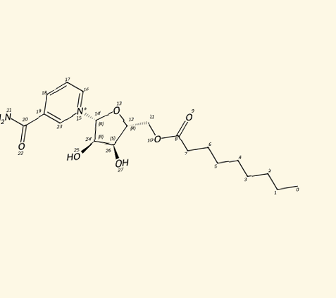 CCCCCCCCC(=O)OC[C@H]1O[C@@H]([n+]2cccc(C(N)=O)c2)[C@H](O)[C@@H]1O